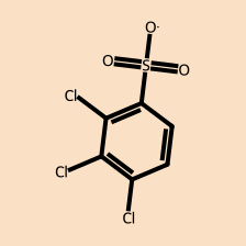 [O]S(=O)(=O)c1ccc(Cl)c(Cl)c1Cl